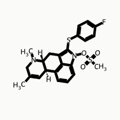 CC1=C[C@@H]2c3cccc4c3c(c(Sc3ccc(F)cc3)n4OS(C)(=O)=O)C[C@H]2N(C)C1